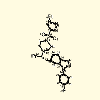 CCn1cc(S(=O)(=O)N2CCN(CC(C)C)[C@@H](c3cc4cnn(-c5ccc(F)cc5)c4cc3C)C2)nn1